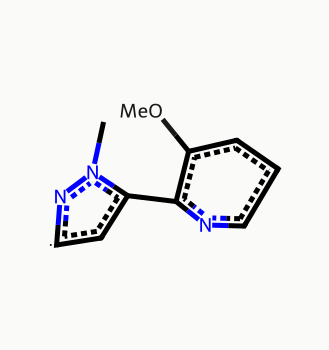 COc1cccnc1-c1c[c]nn1C